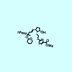 CCCCCC(C)(CC=C[C@H]1CC[C@H](O)[C@@H]1CCSc1nc(C(=O)OC)cs1)OC1CCCCO1